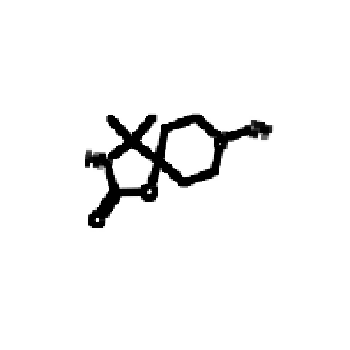 CC(C)N1CCC2(CC1)OC(=O)NC2(C)C